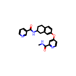 CNC(=O)c1cc(Oc2ccc3c(c2)CC(NC(=O)c2cccnc2)CC3)ccn1